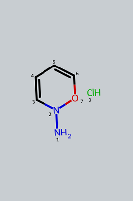 Cl.NN1C=CC=CO1